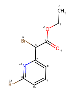 CCOC(=O)C(Br)c1cccc(Br)n1